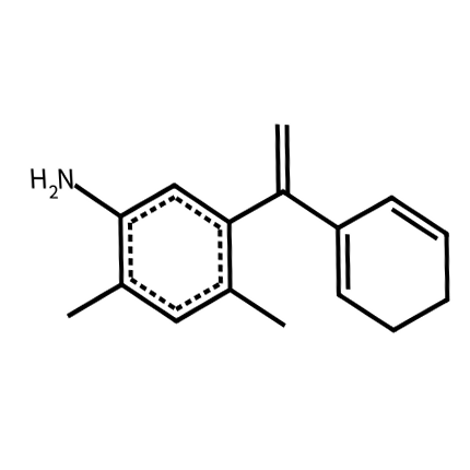 C=C(C1=CCCC=C1)c1cc(N)c(C)cc1C